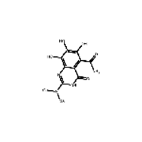 CC(C)(C)N(c1nc2c(O)c(O)c(O)c(C(N)=O)c2c(=O)[nH]1)C(C)(C)C